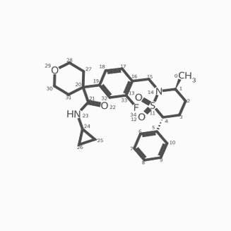 C[C@H]1CC[C@H](c2ccccc2)S(=O)(=O)N1Cc1ccc(C2(C(=O)NC3CC3)CCOCC2)cc1F